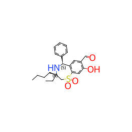 CCCC[C@]1(CC)CS(=O)(=O)c2cc(O)c(C=O)cc2[C@H](c2ccccc2)N1